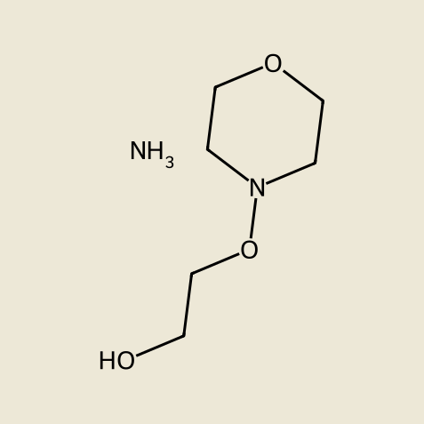 N.OCCON1CCOCC1